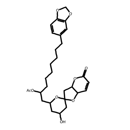 CC(=O)OC(CCCCCCCc1ccc2c(c1)OCO2)CC1CC(O)CC2(CC3OC(=O)C=CC3O2)O1